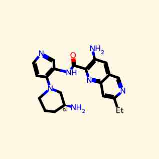 CCc1cc2nc(C(=O)Nc3cnccc3N3CCC[C@H](N)C3)c(N)cc2cn1